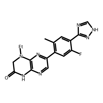 CCN1CC(=O)Nc2ncc(-c3cc(F)c(-c4nc[nH]n4)cc3C)nc21